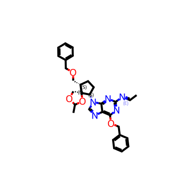 C/C=N/c1nc(OCc2ccccc2)c2ncn([C@H]3CC[C@@H](COCc4ccccc4)[C@@]34COC(C)O4)c2n1